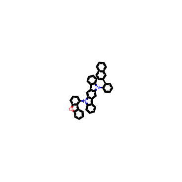 c1ccc(-n2c3ccccc3c3cc4c(cc32)c2ccccc2n4-c2cccc3oc4ccccc4c23)c(-c2ccc3ccccc3c2)c1